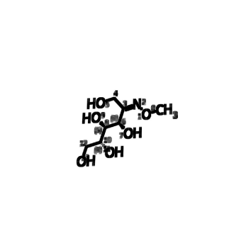 CON=C(CO)[C@@H](O)[C@H](O)[C@H](O)CO